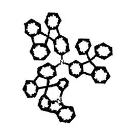 c1ccc(C2(c3ccccc3)c3ccccc3-c3ccc(N(c4ccc5c(c4)C4(c6ccccc6-c6ccccc64)c4ccccc4-5)c4ccc5c(c4)C4(c6ccccc6-5)c5ccccc5-n5c6ccccc6c6cccc4c65)cc32)cc1